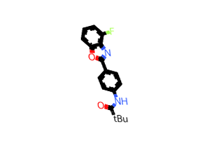 CC(C)(C)C(=O)Nc1ccc(-c2nc3c(F)cccc3o2)cc1